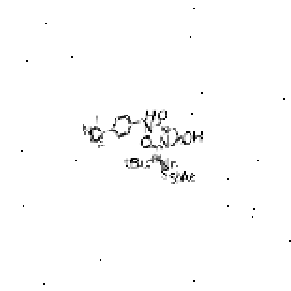 CSSN[C@H](C(=O)N1C[C@H](O)C[C@H]1C(=O)NCc1ccc(-c2scnc2C)cc1)C(C)(C)C